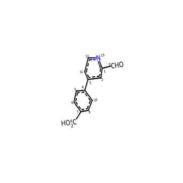 O=Cc1cc(-c2ccc(C(=O)O)cc2)ccn1